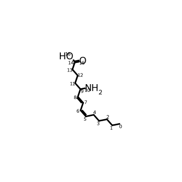 CCCCC/C=C\C=C\C(N)CCCC(=O)O